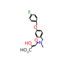 CN(Cc1ccc(OCc2ccc(F)cc2)cc1)C(=O)C=C(O)C(=O)O